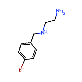 NCCNCc1ccc(Br)cc1